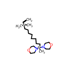 C=C[Si](C)(C)CCCCCCCC[Si](C)(N1CCOCC1)N1CCOCC1